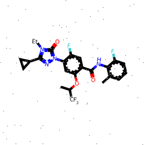 CCn1c(C2CC2)nn(-c2cc(OC(C)C(F)(F)F)c(C(=O)Nc3c(C)cccc3F)cc2F)c1=O